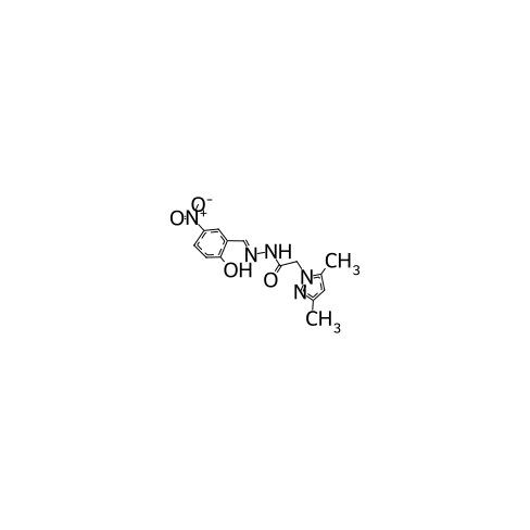 Cc1cc(C)n(CC(=O)N/N=C/c2cc([N+](=O)[O-])ccc2O)n1